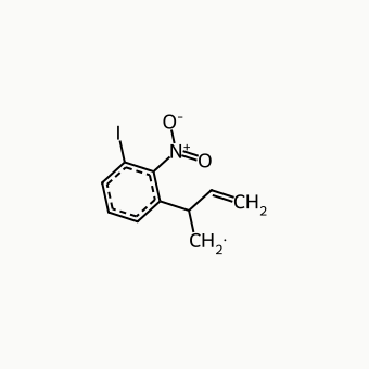 [CH2]C(C=C)c1cccc(I)c1[N+](=O)[O-]